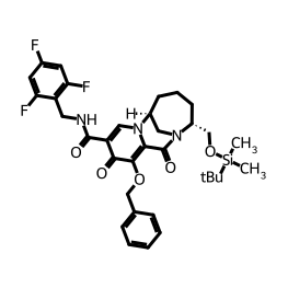 CC(C)(C)[Si](C)(C)OC[C@H]1CCC[C@H]2CN1C(=O)c1c(OCc3ccccc3)c(=O)c(C(=O)NCc3c(F)cc(F)cc3F)cn12